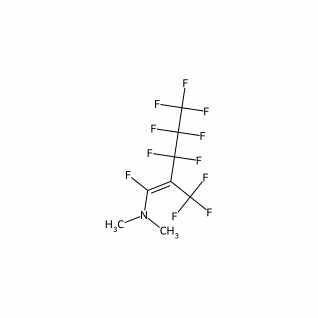 CN(C)C(F)=C(C(F)(F)F)C(F)(F)C(F)(F)C(F)(F)F